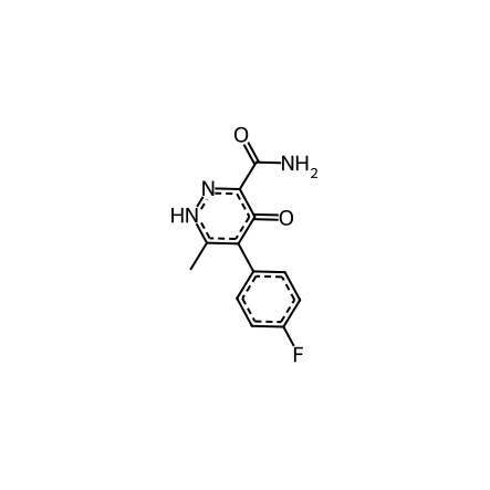 Cc1[nH]nc(C(N)=O)c(=O)c1-c1ccc(F)cc1